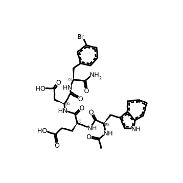 CC(=O)N[C@H](Cc1c[nH]c2ccccc12)C(=O)N[C@@H](CCC(=O)O)C(=O)N[C@@H](CC(=O)O)C(=O)N[C@@H](Cc1cccc(Br)c1)C(N)=O